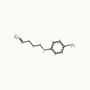 [CH2]c1ccc(OCCCC=C)cc1